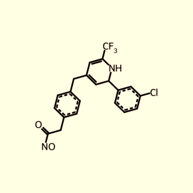 O=NC(=O)Cc1ccc(CC2=CC(c3cccc(Cl)c3)NC(C(F)(F)F)=C2)cc1